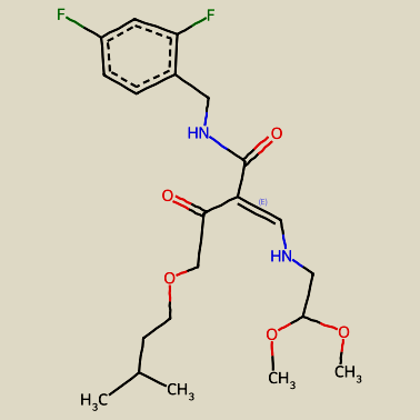 COC(CN/C=C(\C(=O)COCCC(C)C)C(=O)NCc1ccc(F)cc1F)OC